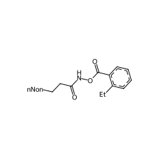 CCCCCCCCCCCC(=O)NOC(=O)c1ccccc1CC